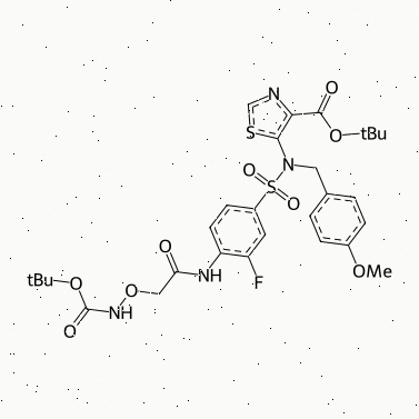 COc1ccc(CN(c2scnc2C(=O)OC(C)(C)C)S(=O)(=O)c2ccc(NC(=O)CONC(=O)OC(C)(C)C)c(F)c2)cc1